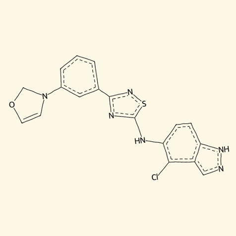 Clc1c(Nc2nc(-c3cccc(N4C=COC4)c3)ns2)ccc2[nH]ncc12